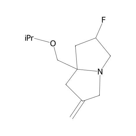 C=C1CN2CC(F)CC2(COC(C)C)C1